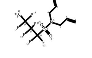 C=CCN(CC=C)S(=O)(=O)C(F)(F)C(F)(F)C(F)(F)C(F)(F)F